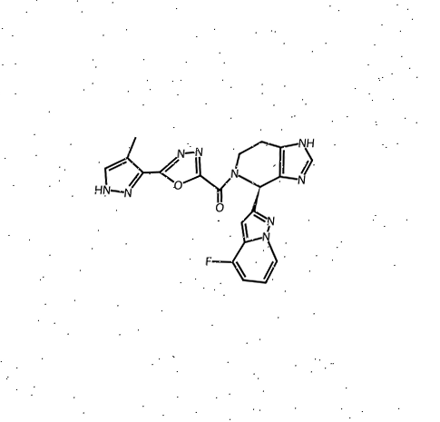 Cc1c[nH]nc1-c1nnc(C(=O)N2CCc3[nH]cnc3[C@H]2c2cc3c(F)cccn3n2)o1